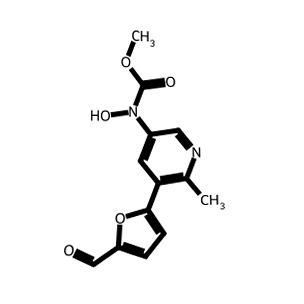 COC(=O)N(O)c1cnc(C)c(-c2ccc(C=O)o2)c1